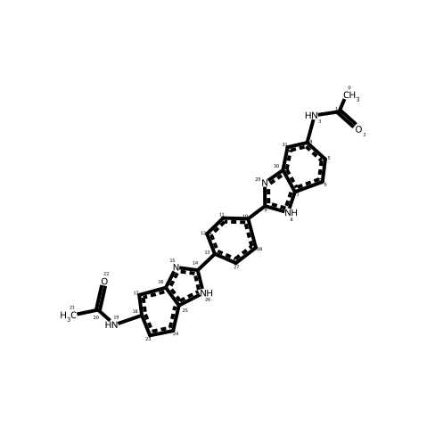 CC(=O)Nc1ccc2[nH]c(-c3ccc(-c4nc5cc(NC(C)=O)ccc5[nH]4)cc3)nc2c1